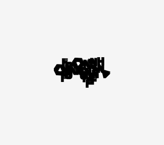 O=C=C1C(NS(=O)(=O)c2c(F)cccc2F)=CC=CC1n1cnc2c(NC3CC3)nc(C(F)(F)F)nc21